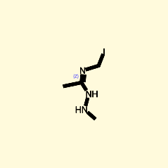 CNN/C(C)=N\CI